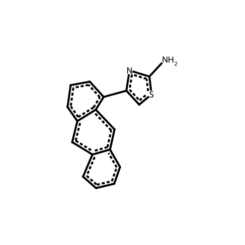 Nc1nc(-c2cccc3cc4ccccc4cc23)cs1